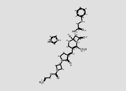 C=CCOC(=O)N1CC(N2CCC(=CC3=C(C(=O)O)N4C(=O)[C@@H](NC(=O)CSc5ccccc5)[C@H]4SC3)C2=O)C1.c1c[nH]cn1